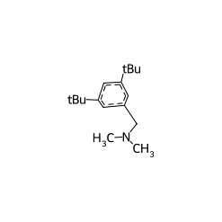 CN(C)Cc1cc(C(C)(C)C)cc(C(C)(C)C)c1